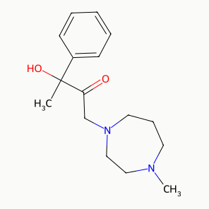 CN1CCCN(CC(=O)C(C)(O)c2ccccc2)CC1